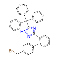 BrCc1ccc(-c2ccccc2-c2n[nH]c(C(c3ccccc3)(c3ccccc3)c3ccccc3)n2)cc1